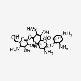 CNC1C(O[C@H]2OC(CO)[C@@H](N)[C@H](O)C2O)O[C@H]2CC(N)[C@@H](O[C@@H]3C(N)C[C@@H](N)C[C@H]3O)OC2C1O